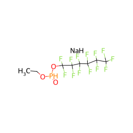 CCO[PH](=O)OC(F)(F)C(F)(F)C(F)(F)C(F)(F)C(F)(F)C(F)(F)F.[NaH]